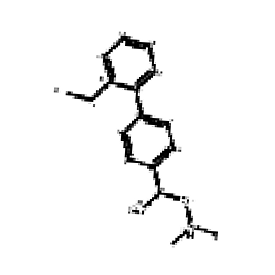 C[SiH](C)OC(c1ccc(-c2ccccc2CI)cc1)C(C)(C)C